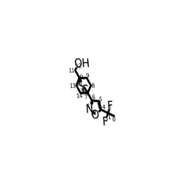 CC(F)(F)c1cc(C23CCC(CO)(CC2)CC3)no1